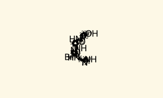 O=C(Nc1cccc(Nc2ncc(Br)c(NCCc3c[nH]cn3)n2)c1)N1CC[C@H](O)C1